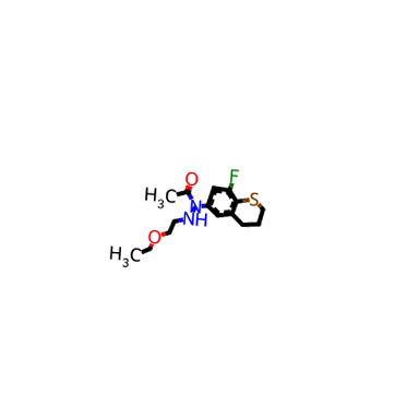 CCOCCNN(C(C)=O)c1cc(F)c2c(c1)CCCS2